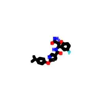 CC(C)c1ccc(Oc2ccc(C(=O)Nc3c(C(N)=O)oc4ccc(F)cc34)cn2)cc1